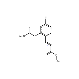 COC(=O)Cc1cc(Cl)ccc1/C=C/C(=O)OC(C)(C)C